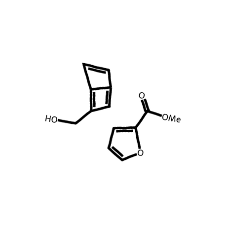 COC(=O)c1ccco1.OCc1cc2ccc1-2